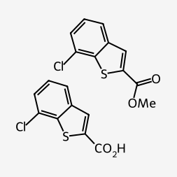 COC(=O)c1cc2cccc(Cl)c2s1.O=C(O)c1cc2cccc(Cl)c2s1